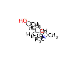 CC1=C2C[C@H]3[C@@H](CC=C4C[C@@H](O)CC[C@@]43C)[C@@H]2CCC2(C1)O[C@@H]1C[C@H](C)CN(C)[C@H]1[C@H]2C